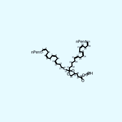 CCCCC/C=C\C/C=C\C/C=C\C/C=C\CCCCC1(CCCC/C=C\C/C=C\C/C=C\C/C=C\CCCCC)OCC(CCC(=O)OSO)O1